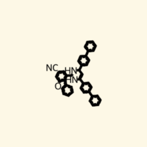 N#Cc1cc(C2NC(c3ccc(-c4ccccc4)cc3)=CC(c3ccc(-c4ccccc4)cc3)N2)c2c(c1)oc1ccccc12